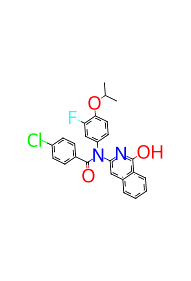 CC(C)Oc1ccc(N(C(=O)c2ccc(Cl)cc2)c2cc3ccccc3c(O)n2)cc1F